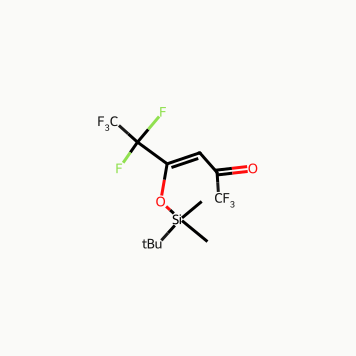 CC(C)(C)[Si](C)(C)O/C(=C\C(=O)C(F)(F)F)C(F)(F)C(F)(F)F